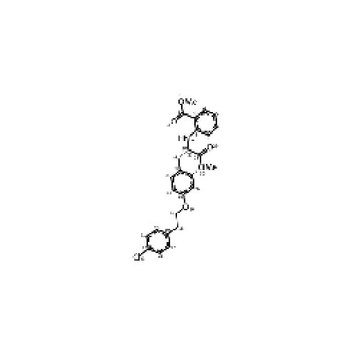 COC(=O)c1ccccc1N[C@@H](Cc1ccc(OCCc2ccc(Cl)cc2)cc1)C(=O)OC